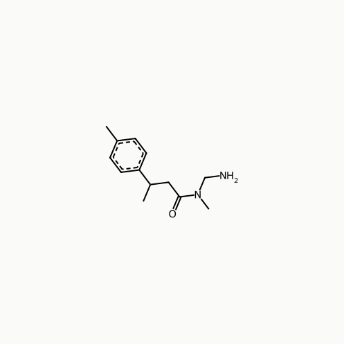 Cc1ccc(C(C)CC(=O)N(C)CN)cc1